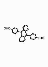 O=Cc1ccc(-c2c3ccccc3c(-c3ccc(C=O)cc3)c3ccccc23)cc1